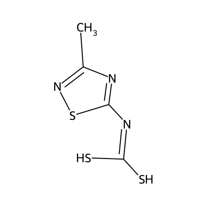 Cc1nsc(N=C(S)S)n1